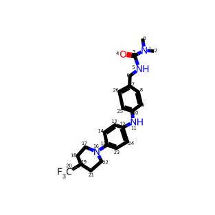 CN(C)C(=O)NCc1ccc(Nc2ccc(N3CCC(C(F)(F)F)CC3)cc2)cc1